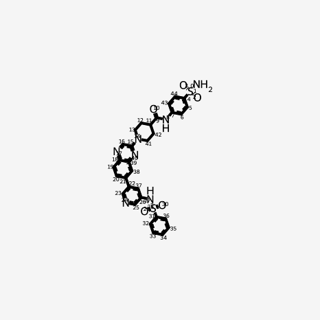 NS(=O)(=O)c1ccc(NC(=O)C2CCN(c3cnc4ccc(-c5cncc(NS(=O)(=O)c6ccccc6)c5)cc4n3)CC2)cc1